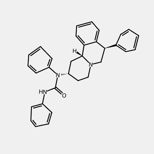 O=C(Nc1ccccc1)N(c1ccccc1)[C@H]1CCN2C[C@H](c3ccccc3)c3ccccc3[C@H]2C1